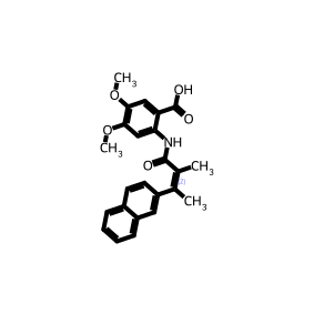 COc1cc(NC(=O)/C(C)=C(/C)c2ccc3ccccc3c2)c(C(=O)O)cc1OC